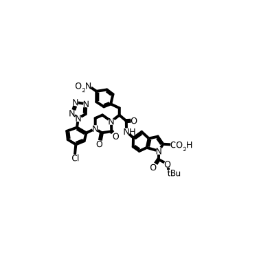 CC(C)(C)OC(=O)n1c(C(=O)O)cc2cc(NC(=O)C(Cc3ccc([N+](=O)[O-])cc3)N3CCN(c4cc(Cl)ccc4-n4cnnn4)C(=O)C3=O)ccc21